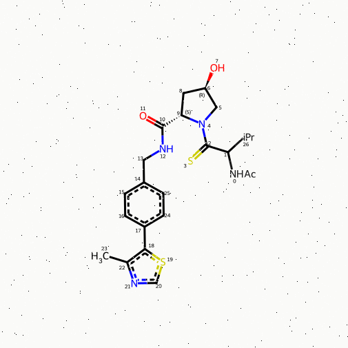 CC(=O)NC(C(=S)N1C[C@H](O)C[C@H]1C(=O)NCc1ccc(-c2scnc2C)cc1)C(C)C